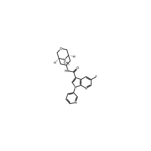 CN1[C@@H]2COC[C@H]1CC(NC(=O)c1cn(-c3cccnc3)c3ncc(F)cc13)C2